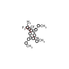 Cc1cccc(-c2ccc3c(c2)c2cc(-c4cccc(C)c4)ccc2n3-c2ccc(C#N)cc2-c2cc(-c3cc(C(F)(F)F)cc(C(F)(F)F)c3)ccc2-n2c3ccc(-c4cccc(C)c4)cc3c3cc(-c4cccc(C)c4)ccc32)c1